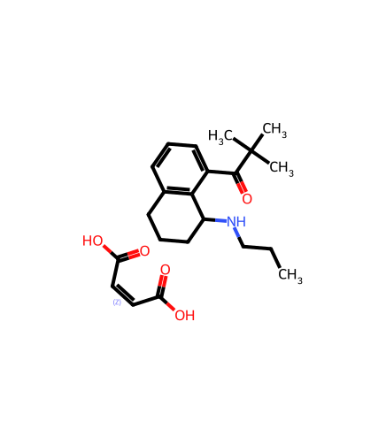 CCCNC1CCCc2cccc(C(=O)C(C)(C)C)c21.O=C(O)/C=C\C(=O)O